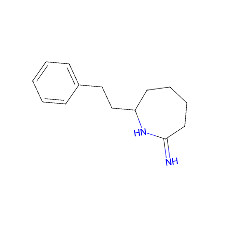 N=C1CCCCC(CCc2ccccc2)N1